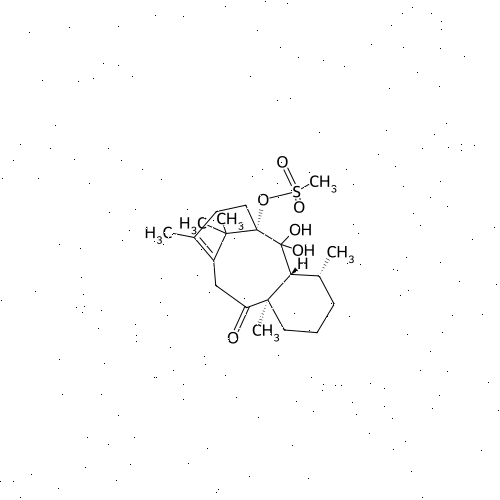 CC1=C2CC(=O)[C@]3(C)CCC[C@@H](C)[C@H]3C(O)(O)[C@](OS(C)(=O)=O)(CC1)C2(C)C